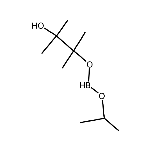 CC(C)OBOC(C)(C)C(C)(C)O